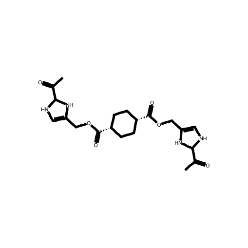 CC(=O)C1NC=C(COC(=O)[C@H]2CC[C@@H](C(=O)OCC3=CNC(C(C)=O)N3)CC2)N1